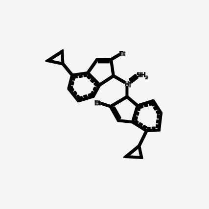 CCC1=Cc2c(C3CC3)cccc2[CH]1[Hf](=[SiH2])[CH]1C(CC)=Cc2c(C3CC3)cccc21